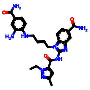 CCn1nc(C)cc1C(=O)Nc1nc2cc(C(N)=O)ccc2n1C/C=C/CNc1ccc(C(N)=O)cc1N